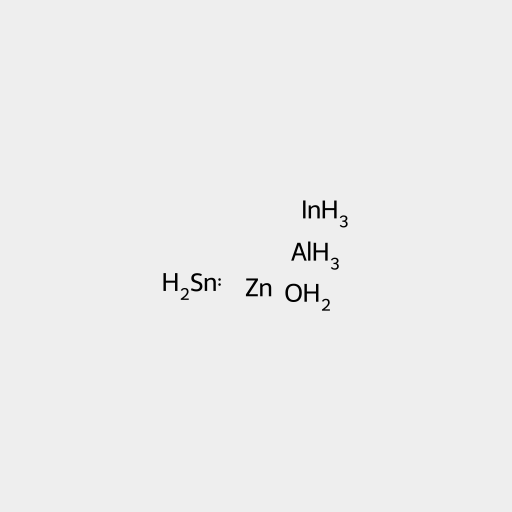 O.[AlH3].[InH3].[SnH2].[Zn]